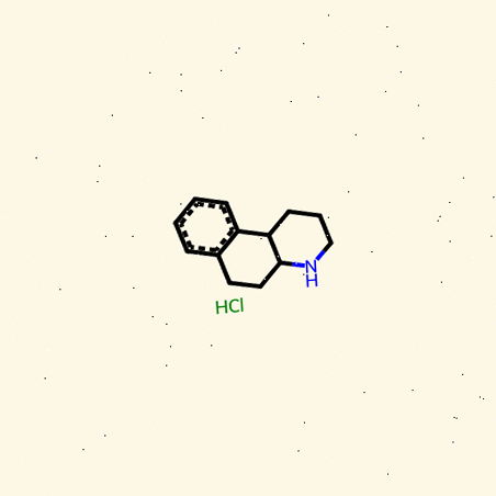 Cl.c1ccc2c(c1)CCC1NCCCC21